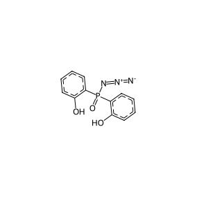 [N-]=[N+]=NP(=O)(c1ccccc1O)c1ccccc1O